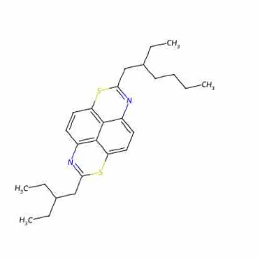 CCCCC(CC)CC1=Nc2ccc3c4c(ccc(c24)S1)N=C(CC(CC)CC)S3